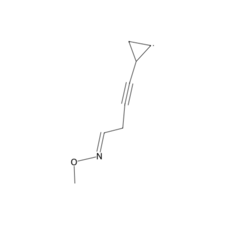 CON=CCC#CC1[CH]C1